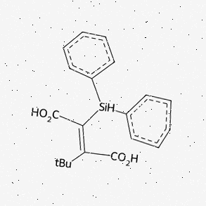 CC(C)(C)/C(C(=O)O)=C(\C(=O)O)[SiH](c1ccccc1)c1ccccc1